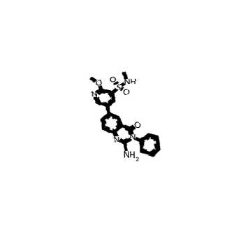 CNS(=O)(=O)c1cc(-c2ccc3nc(N)n(-c4ccccc4)c(=O)c3c2)cnc1OC